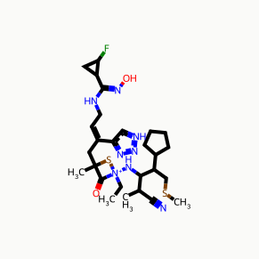 CC[N+]1(NC(C(C)C#N)C(CSC)C2CCCC2)SC(C)(CC(=CCNC(=NO)C2CC2F)c2c[nH]nn2)C1=O